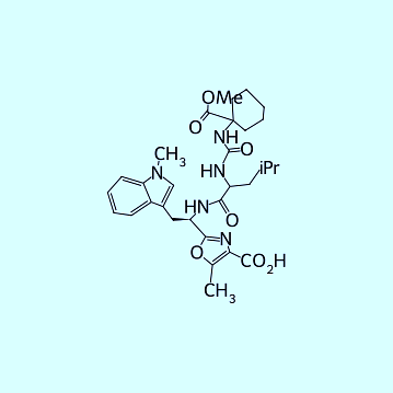 COC(=O)C1(NC(=O)NC(CC(C)C)C(=O)N[C@H](Cc2cn(C)c3ccccc23)c2nc(C(=O)O)c(C)o2)CCCCC1